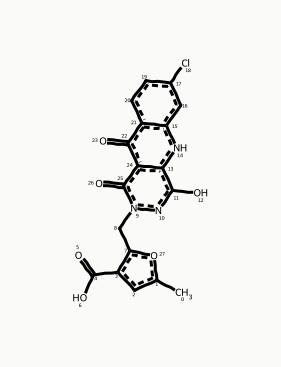 Cc1cc(C(=O)O)c(Cn2nc(O)c3[nH]c4cc(Cl)ccc4c(=O)c3c2=O)o1